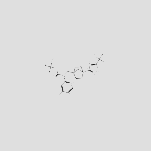 CC(F)(F)c1nc(C23CCC(CN(C(=O)OC(C)(C)C(F)(F)F)c4cc(Br)ccn4)(CC2)C3)no1